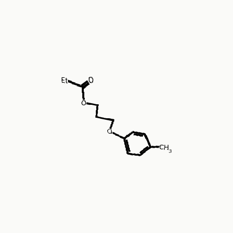 CCC(=O)OCCCOc1ccc(C)cc1